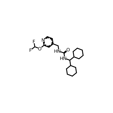 O=C(NCc1ccnc(OC(F)F)c1)NC(C1CCCCC1)C1CCCCC1